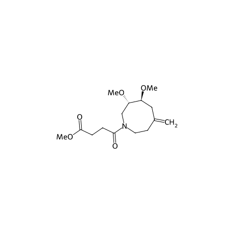 C=C1CCN(C(=O)CCC(=O)OC)C[C@H](OC)[C@@H](OC)C1